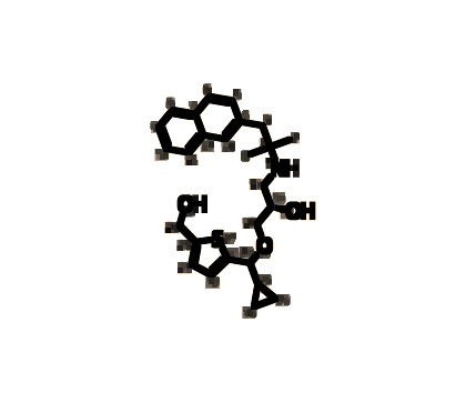 CC(C)(Cc1ccc2ccccc2c1)NC[C@@H](O)COC(c1ccc(CO)s1)C1CC1